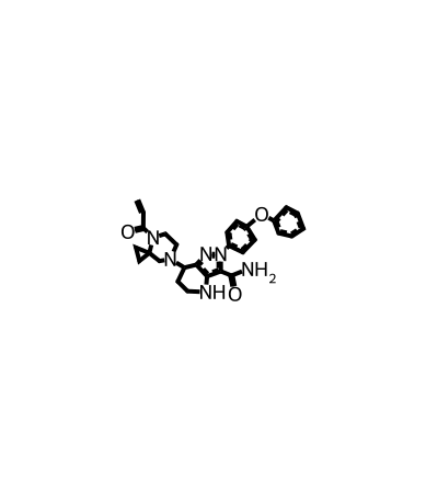 C=CC(=O)N1CCN(C2CCNc3c2nn(-c2ccc(Oc4ccccc4)cc2)c3C(N)=O)CC12CC2